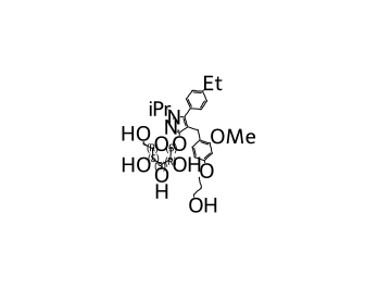 CCc1ccc(-c2c(Cc3ccc(OCCCO)cc3OC)c(O[C@@H]3O[C@H](CO)[C@@H](O)[C@H](O)[C@H]3O)nn2C(C)C)cc1